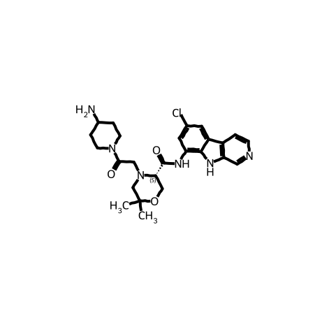 CC1(C)CN(CC(=O)N2CCC(N)CC2)[C@H](C(=O)Nc2cc(Cl)cc3c2[nH]c2cnccc23)CO1